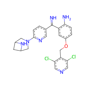 N=C(c1ccc(N2CC3CC(C2)N3)nc1)c1cc(OCc2c(Cl)cncc2Cl)ccc1N